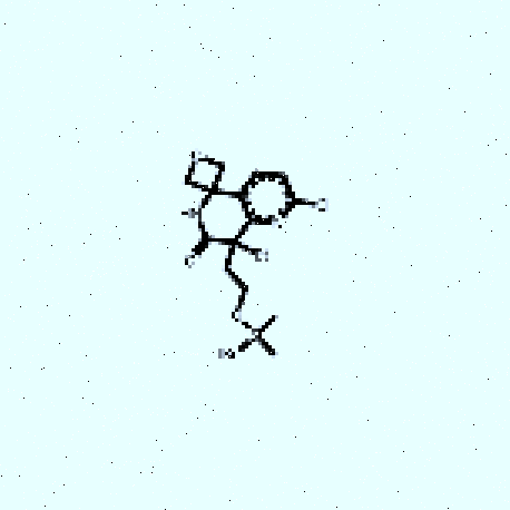 CCC1(CCO[Si](C)(C)C(C)(C)C)C(=O)NC2(COC2)c2ccc(Cl)nc21